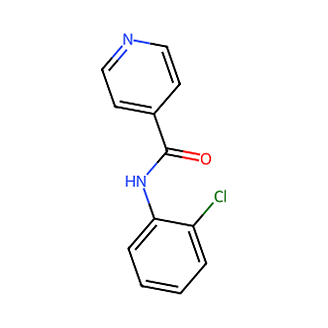 O=C(Nc1ccccc1Cl)c1ccncc1